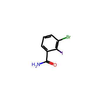 NC(=O)c1cccc(Br)c1I